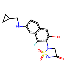 O=C1CN(c2c(O)cc3ccc(NCC4CC4)cc3c2F)S(=O)(=O)N1